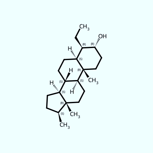 CC[C@H]1[C@H](O)CC[C@]2(C)[C@H]3CC[C@]4(C)[C@@H](C)CC[C@H]4[C@@H]3CC[C@@H]12